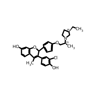 CC[C@@H]1CCN([C@@H](C)COc2ccc(C3Oc4cc(O)ccc4C(C)=C3c3ccc(O)c(Cl)c3)cc2)C1